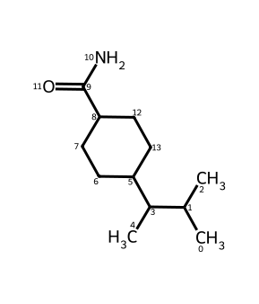 CC(C)C(C)C1CCC(C(N)=O)CC1